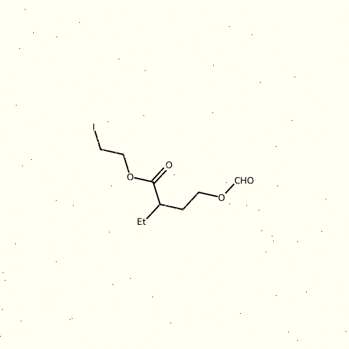 CCC(CCO[C]=O)C(=O)OCCI